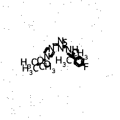 CC(C)(C)OC(=O)N1CCN(Cc2nsc(NCC(C)(C)c3ccc(F)cc3)n2)CC1